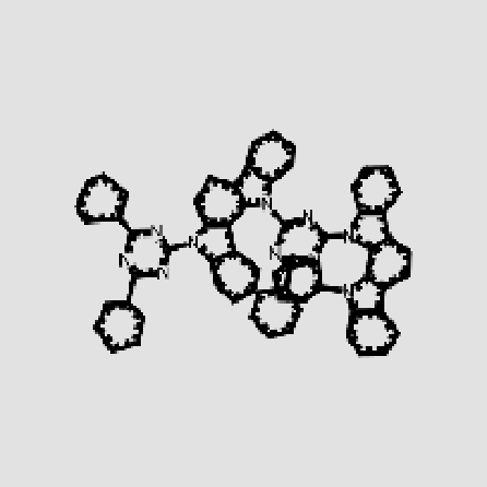 c1ccc(-c2nc(-c3ccccc3)nc(-n3c4ccccc4c4c3ccc3c5ccccc5n(-c5nc(-c6ccccc6)nc(-n6c7ccccc7c7ccc8c9ccccc9n(-c9ccccc9)c8c76)n5)c34)n2)cc1